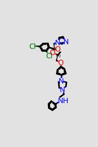 Clc1ccc([C@]2(Cn3ccnc3)OC[C@@H](COc3ccc(N4CCN(CCNc5ccccc5)CC4)cc3)O2)c(Cl)c1